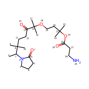 CC(N1CCCC1=O)C(C)(C)CCC(=O)C(C)(C)OCCC(C)(C)OC(=O)CCN